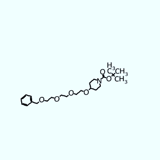 CC(C)(C)OC(=O)N1CCC(OCCOCCOCCOCc2ccccc2)CC1